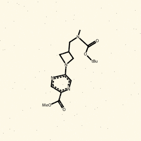 COC(=O)c1cnc(N2CC(CN(C)C(=O)OC(C)(C)C)C2)cn1